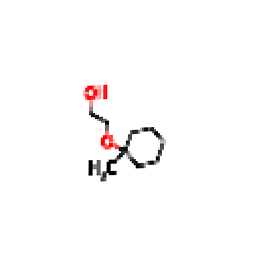 CC1(OCCO)CCCCC1